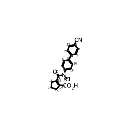 N#Cc1ccc(-c2ccc(N(Cl)C(=O)C3=C(C(=O)O)CCC3)cc2)cc1